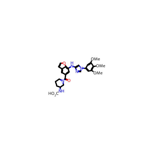 COc1cc(-n2cnc(Nc3cc(C(=O)N4CCCC(NC(=O)O)C4)cc4ccoc34)c2)cc(OC)c1OC